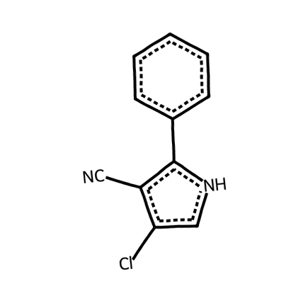 N#Cc1c(Cl)c[nH]c1-c1ccccc1